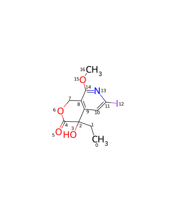 CCC1(O)C(=O)OCc2c1cc(I)nc2OC